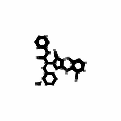 Cl.O=C(Nc1cnccn1)[C@H](CC1CCCCC1)N1CC(Oc2c(F)cccc2Cl)=CC1=O